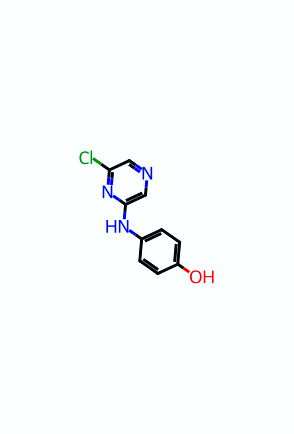 Oc1ccc(Nc2cncc(Cl)n2)cc1